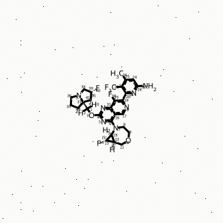 [2H]C([2H])(Oc1nc(N2CCOC[C@H]3[C@H](F)[C@H]32)c2cnc(-c3nc(N)cc(C)c3C(F)(F)F)c(F)c2n1)[C@@]12CCCN1C[C@H](F)C2